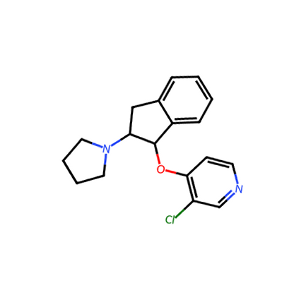 Clc1cnccc1OC1c2ccccc2CC1N1CCCC1